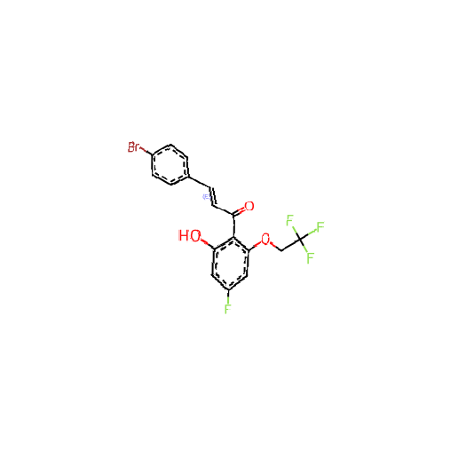 O=C(/C=C/c1ccc(Br)cc1)c1c(O)cc(F)cc1OCC(F)(F)F